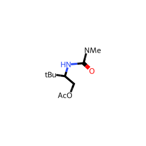 CNC(=O)NC(COC(C)=O)C(C)(C)C